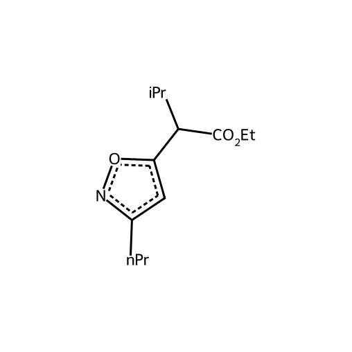 CCCc1cc(C(C(=O)OCC)C(C)C)on1